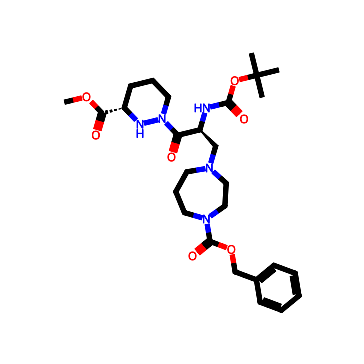 COC(=O)[C@@H]1CCCN(C(=O)[C@H](CN2CCCN(C(=O)OCc3ccccc3)CC2)NC(=O)OC(C)(C)C)N1